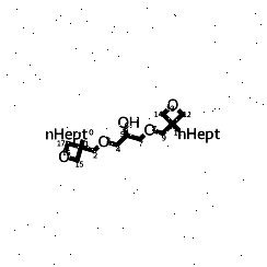 CCCCCCCC1(COCC(O)COCC2(CCCCCCC)COC2)COC1